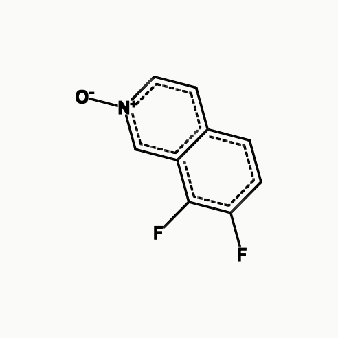 [O-][n+]1ccc2ccc(F)c(F)c2c1